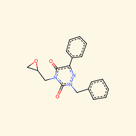 O=c1c(-c2ccccc2)nn(Cc2ccccc2)c(=O)n1CC1CO1